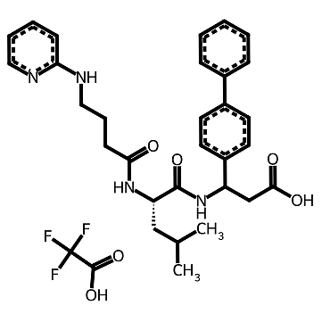 CC(C)C[C@H](NC(=O)CCCNc1ccccn1)C(=O)NC(CC(=O)O)c1ccc(-c2ccccc2)cc1.O=C(O)C(F)(F)F